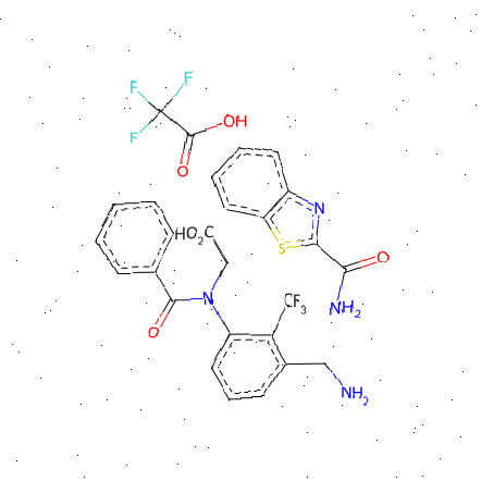 NC(=O)c1nc2ccccc2s1.NCc1cccc(N(CC(=O)O)C(=O)c2ccccc2)c1C(F)(F)F.O=C(O)C(F)(F)F